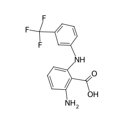 Nc1cccc(Nc2cccc(C(F)(F)F)c2)c1C(=O)O